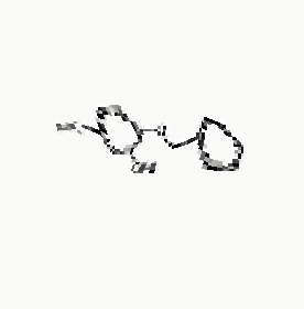 N#Cc1ccc(OCc2ccccc2)c(C#N)c1